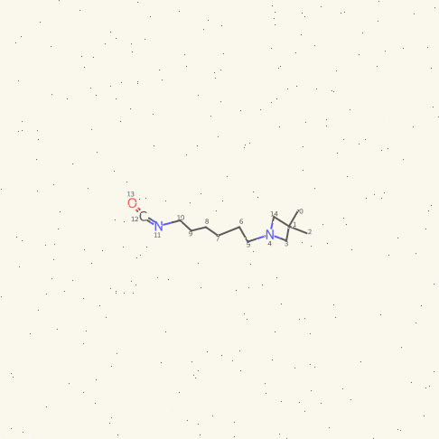 CC1(C)CN(CCCCCCN=C=O)C1